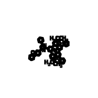 CC(C)(C)c1ccc(C2=C(n3c4ccc(-c5ccccc5)cc4c4cc(-c5ccccc5)ccc43)C(c3ccc(C(C)(C)C)cc3)CC(c3nc(-c4ccccc4)cc(-c4ccc5c(c4)oc4ccccc45)n3)=C2)cc1